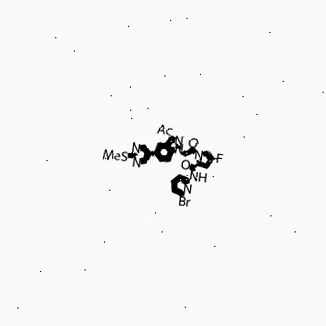 CSc1ncc(-c2ccc3c(c2)c(C(C)=O)nn3CC(=O)N2C[C@H](F)C[C@H]2C(=O)Nc2cccc(Br)n2)cn1